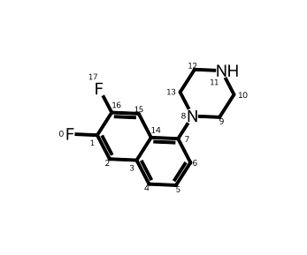 Fc1cc2cccc(N3CCNCC3)c2cc1F